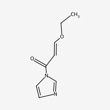 CCO/C=C/C(=O)n1ccnc1